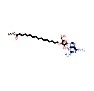 COC(=O)CCCCCCCCCCCCCCCOC1C(O)[C@H](n2cnc3c(N)nc(N)nc32)O[C@@H]1CO